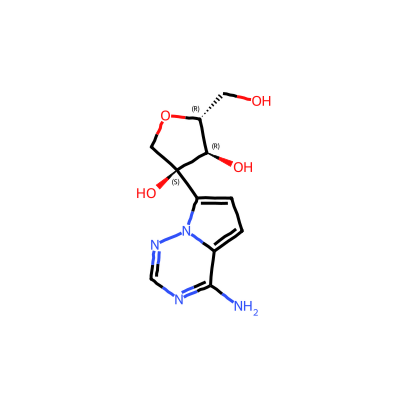 Nc1ncnn2c([C@]3(O)CO[C@H](CO)[C@H]3O)ccc12